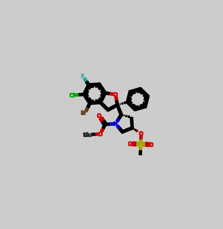 CC(C)(C)OC(=O)N1C[C@@H](OS(C)(=O)=O)C[C@H]1[C@@]1(c2ccccc2)Cc2c(cc(F)c(Cl)c2Br)O1